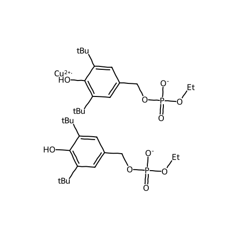 CCOP(=O)([O-])OCc1cc(C(C)(C)C)c(O)c(C(C)(C)C)c1.CCOP(=O)([O-])OCc1cc(C(C)(C)C)c(O)c(C(C)(C)C)c1.[Cu+2]